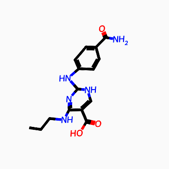 CCCNC1=NC(Nc2ccc(C(N)=O)cc2)NC=C1C(=O)O